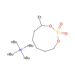 CCC1CCCCCOS(=O)(=O)O1.CCCC[N+](CCCC)(CCCC)CCCC